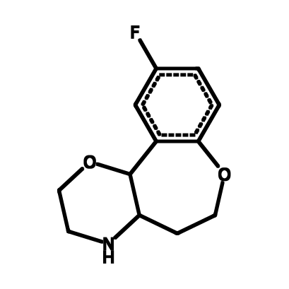 Fc1ccc2c(c1)C1OCCNC1CCO2